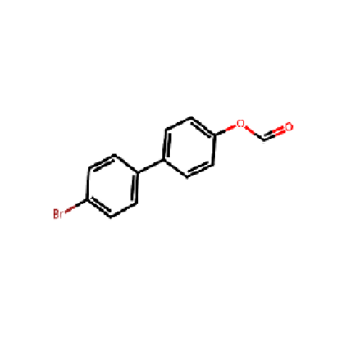 O=[C]Oc1ccc(-c2ccc(Br)cc2)cc1